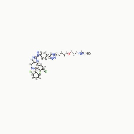 O=CCNCCCOCCCCCn1cc(-c2ccc(Nc3ncc4c(n3)-c3ccc(Cl)cc3C(c3c(F)cccc3F)=NC4)cc2)nn1